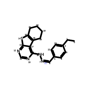 CCc1ccc(/C=N\Nc2ncnc3sc4c(c23)CCCC4)cc1